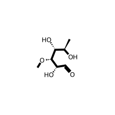 CO[C@H]([C@H](O)[C@@H](C)O)[C@@H](O)C=O